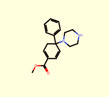 COC(=O)C1=CCC(c2ccccc2)(N2CCNCC2)C=C1